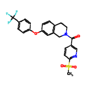 CS(=O)(=O)c1ccc(C(=O)N2CCc3ccc(Oc4ccc(C(F)(F)F)cc4)cc3C2)cn1